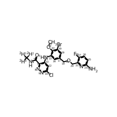 [2H]C([2H])([2H])NC(=O)c1nnc(Cl)cc1Nc1cc(COCc2nc(N)ccc2F)cc(Br)c1OC